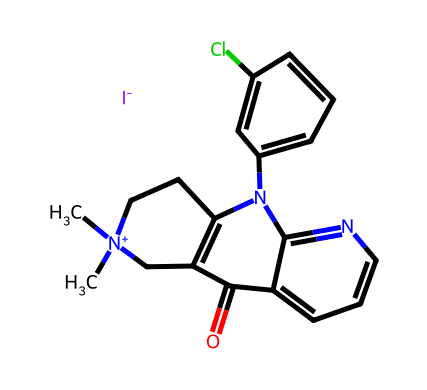 C[N+]1(C)CCc2c(c(=O)c3cccnc3n2-c2cccc(Cl)c2)C1.[I-]